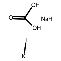 O=C(O)O.[K][I].[NaH]